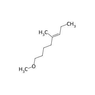 CC/C=C(\C)CCCCOC